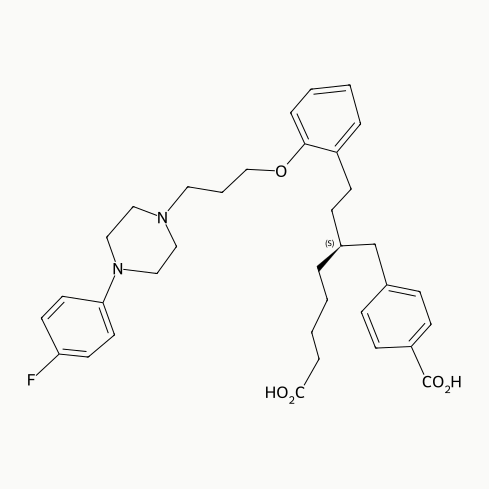 O=C(O)CCCC[C@@H](CCc1ccccc1OCCCN1CCN(c2ccc(F)cc2)CC1)Cc1ccc(C(=O)O)cc1